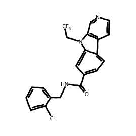 O=C(NCc1ccccc1Cl)c1ccc2c3ccncc3n(CC(F)(F)F)c2c1